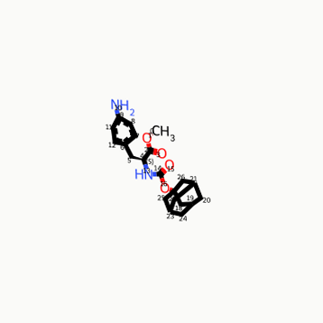 COC(=O)[C@H](Cc1ccc(N)cc1)NC(=O)OC12CC3CC(CC(C3)C1)C2